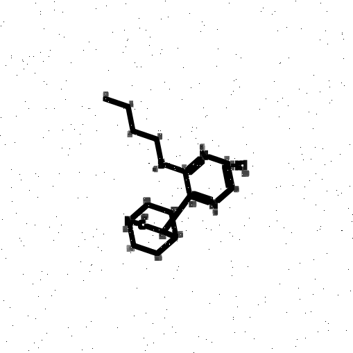 CCCCSc1nccnc1C1CN2CCC1CC2.Cl